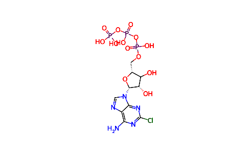 Nc1nc(Cl)nc2c1ncn2[C@@H]1O[C@H](COP(=O)(O)OP(=O)(O)OP(=O)(O)O)C(O)[C@@H]1O